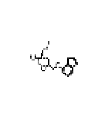 CCCN1CC(COc2cccc3c2CC=C3)OCC1=O